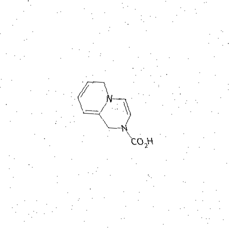 O=C(O)N1C=CN2CC=CC=C2C1